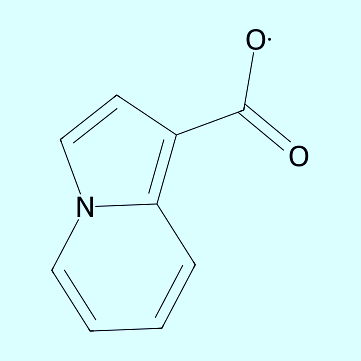 [O]C(=O)c1ccn2ccccc12